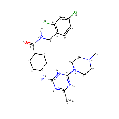 CNc1nc(N[C@H]2CC[C@@H](C(=O)N(C)Cc3ccc(Cl)cc3Cl)CC2)nc(N2CCN(C)CC2)n1